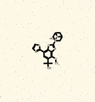 CC(C)(O)c1cc(-c2nccs2)c2oc(N3CC4CC(C3)N4C(=O)O)nc2c1OC(F)(F)F